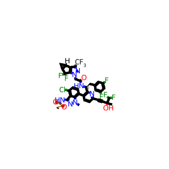 Cn1nc(NS(C)(=O)=O)c2c(Cl)ccc(-c3ccc(C#CC(C)(O)C(F)F)nc3[C@H](Cc3cc(F)cc(F)c3)NC(=O)Cn3nc(C(F)(F)F)c4c3C(F)(F)C3C[C@H]43)c21